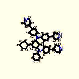 c1ccc(N2c3ccc(-c4ccncc4)cc3B3c4cc(-c5ccncc5)ccc4N(c4ccc(-c5ccncc5)cc4)c4cc(C5CCCCC5)cc2c43)cc1